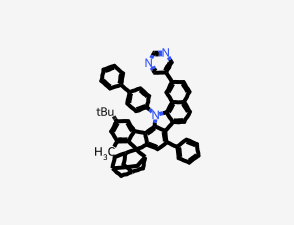 Cc1cc(C(C)(C)C)cc2c1C1(c3cc(-c4ccccc4)c4c5ccc6ccc(-c7cncnc7)cc6c5n(-c5ccc(-c6ccccc6)cc5)c4c3-2)C2CC3CC(C2)CC1C3